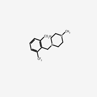 CN1CCN(Cc2c(C(=O)O)cccc2C(F)(F)F)CC1